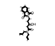 C=CCN(CC=C)C(=S)C[C@H](O)CCN1C(=O)c2ccccc2C1=O